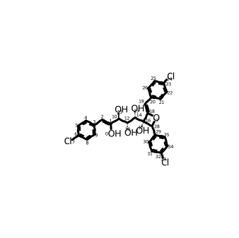 OC(=Cc1ccc(Cl)cc1)[C@@H](O)[C@@H](O)[C@H](O)[C@@]1(O)C(=Cc2ccc(Cl)cc2)OC1c1ccc(Cl)cc1